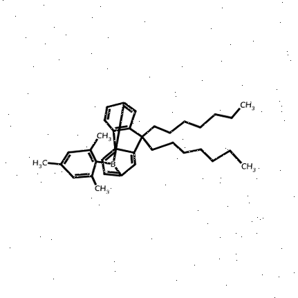 CCCCCCCC1(CCCCCCC)c2cc3ccc2-c2ccc(cc21)B3c1c(C)cc(C)cc1C